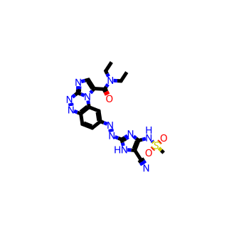 CCN(CC)C(=O)c1cnc2nnc3ccc(/N=N/c4nc(NS(C)(=O)=O)c(C#N)[nH]4)cc3n12